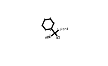 CCCCCC(Cl)(CCCC)C1CCCCC1